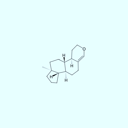 C[C@]12C[CH][C@H]3[C@@H](CCC4=COCC[C@@H]43)[C@@H]1CCC2